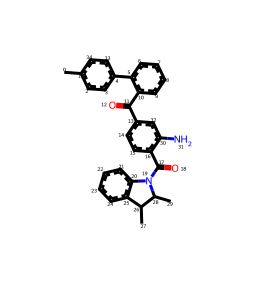 Cc1ccc(-c2ccccc2C(=O)c2ccc(C(=O)N3c4ccccc4C(C)C3C)c(N)c2)cc1